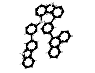 c1cc(Nc2cccc3oc4cccc(-c5cccc(-c6cc7ccccc7c7ccccc67)c5)c4c23)cc(-c2ccc3c(c2)sc2ccccc23)c1